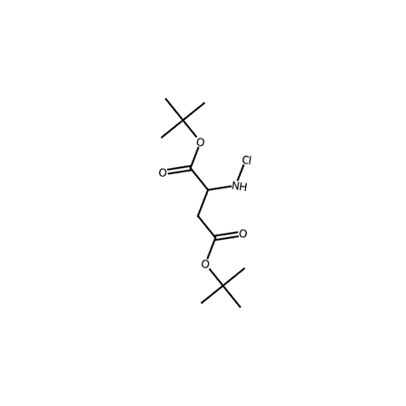 CC(C)(C)OC(=O)CC(NCl)C(=O)OC(C)(C)C